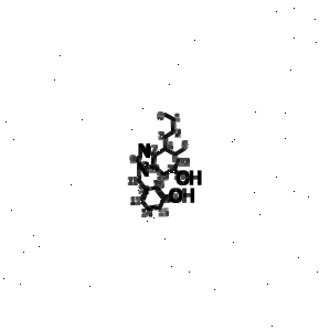 C/C=C\C=C(/CC)c1ncn(Cc2cccc(O)c2)c1CC(C)O